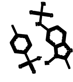 CC[n+]1c(C)oc2ccc(NS(=O)(=O)CC)cc21.Cc1ccc(S(=O)(=O)[O-])cc1